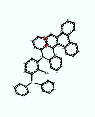 Clc1c(N(c2ccccc2)c2ccccc2)cccc1N(c1ccccc1)c1ccccc1-c1cccc2c3ccccc3c3ccccc3c12